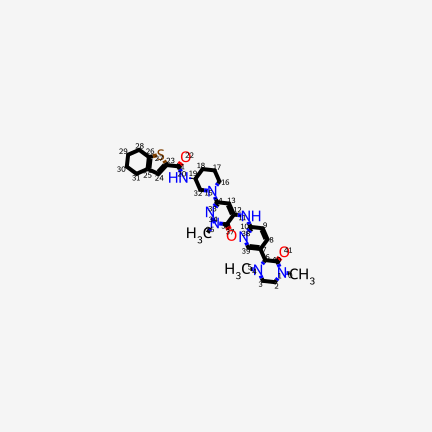 CN1CCN(C)C(c2ccc(Nc3cc(N4CCC[C@@H](NC(=O)c5cc6c(s5)CCCC6)C4)nn(C)c3=O)nc2)C1=O